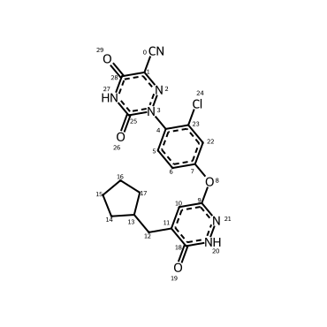 N#Cc1nn(-c2ccc(Oc3cc(CC4CCCC4)c(=O)[nH]n3)cc2Cl)c(=O)[nH]c1=O